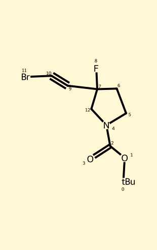 CC(C)(C)OC(=O)N1CCC(F)(C#CBr)C1